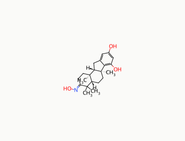 CC1(C)/C(=N/O)CC[C@]2(C)[C@@H]1CC[C@]1(C)c3c(O)cc(O)cc3C[C@@H]21